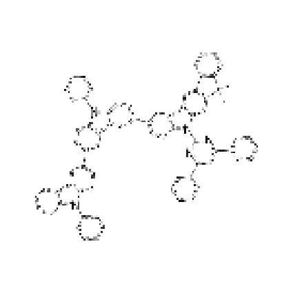 CC1(C)c2ccccc2-c2cc3c4cc(-c5ccc6c(c5)c5cc(-c7ccc8c(c7)c7ccccc7n8-c7ccccc7)ccc5n6-c5ccccc5)ccc4n(-c4nc(-c5ccccc5)cc(-c5ccccc5)n4)c3cc21